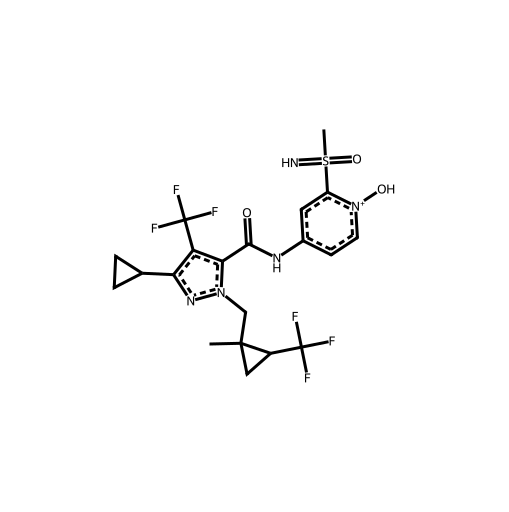 CC1(Cn2nc(C3CC3)c(C(F)(F)F)c2C(=O)Nc2cc[n+](O)c(S(C)(=N)=O)c2)CC1C(F)(F)F